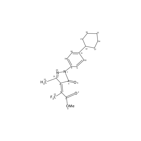 COC(=O)C(=C1C(=O)N(c2ccc(C3CCCCC3)cc2)N=C1C)C(F)(F)F